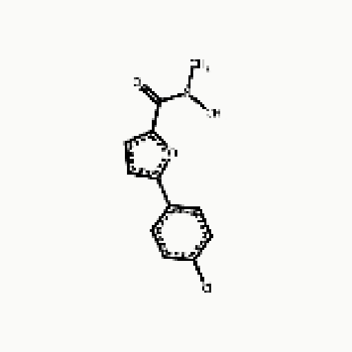 CN(C)C(=O)c1ccc(-c2ccc(Cl)cc2)o1